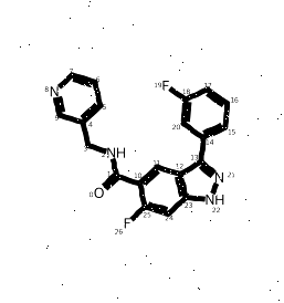 O=C(NCc1cccnc1)c1cc2c(-c3cccc(F)c3)n[nH]c2cc1F